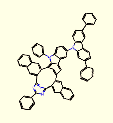 c1ccc(-c2ccc3c(c2)c2ccc(-c4ccccc4)cc2n3-c2ccc3c(c2)c2cc4cc(c5cc6ccccc6cc5c5nc(-c6ccccc6)nc(n5)c5cc6ccccc6cc45)c2n3-c2ccccc2)cc1